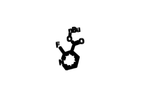 CCCCOC(=O)c1cccnc1F